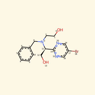 OCCN(Cc1ccccc1)[C@H](CO)c1ncc(Br)cn1